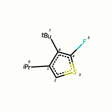 CC(C)c1csc(F)c1C(C)(C)C